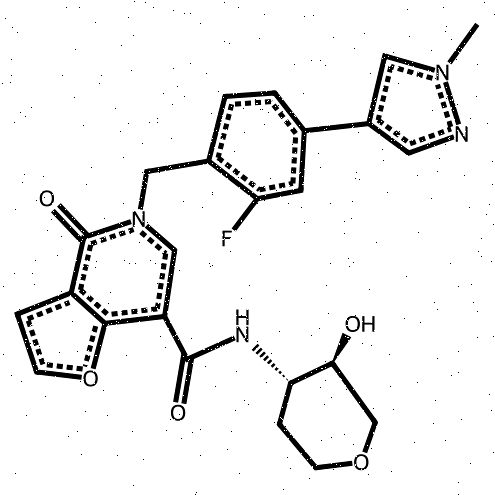 Cn1cc(-c2ccc(Cn3cc(C(=O)N[C@H]4CCOC[C@@H]4O)c4occc4c3=O)c(F)c2)cn1